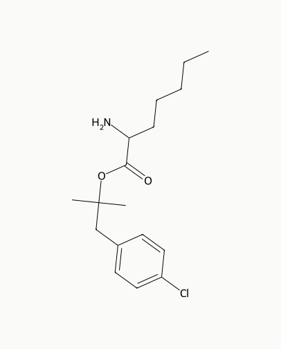 CCCCCC(N)C(=O)OC(C)(C)Cc1ccc(Cl)cc1